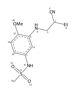 CCC(C#N)CNc1cc(NS(C)(=O)=O)ccc1OC